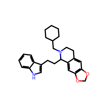 c1ccc2c(CCC3c4cc5c(cc4CCN3CC3CCCCC3)OCO5)c[nH]c2c1